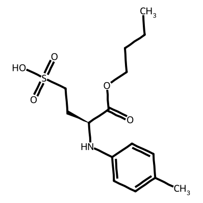 CCCCOC(=O)[C@H](CCS(=O)(=O)O)Nc1ccc(C)cc1